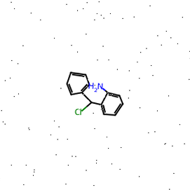 Nc1ccccc1C(Cl)c1ccccc1